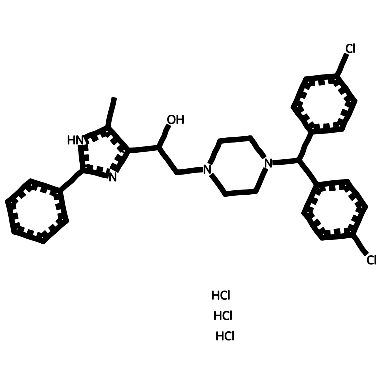 Cc1[nH]c(-c2ccccc2)nc1C(O)CN1CCN(C(c2ccc(Cl)cc2)c2ccc(Cl)cc2)CC1.Cl.Cl.Cl